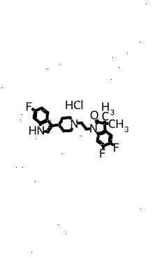 CC1(C)C(=O)N(CCN2CCC(c3c[nH]c4cc(F)ccc34)CC2)c2cc(F)c(F)cc21.Cl